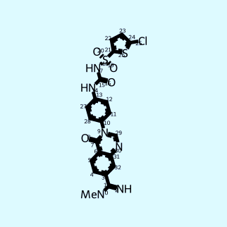 CNC(=N)c1ccc2c(=O)n(-c3ccc(NC(=O)NS(=O)(=O)c4ccc(Cl)s4)cc3)cnc2c1